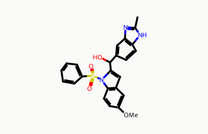 COc1ccc2c(c1)cc(C(O)c1ccc3[nH]c(C)nc3c1)n2S(=O)(=O)c1ccccc1